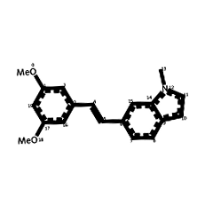 COc1cc(C=Cc2ccc3ccn(C)c3c2)cc(OC)c1